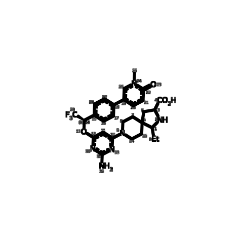 CCC1NC(C(=O)O)CC12CCN(c1cc(O[C@H](c3ccc(-c4ccc(=O)n(C)c4)cc3)C(F)(F)F)nc(N)n1)CC2